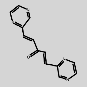 O=C(/C=C/c1cnccn1)/C=C/c1cnccn1